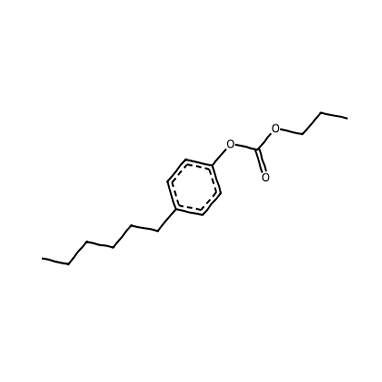 CCCCCCc1ccc(OC(=O)OCCC)cc1